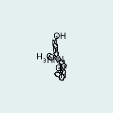 COc1cc(N2CCN(CCO)CC2)ccc1Nc1cc2c(ccn2S(=O)(=O)c2cccc3cccnc23)cn1